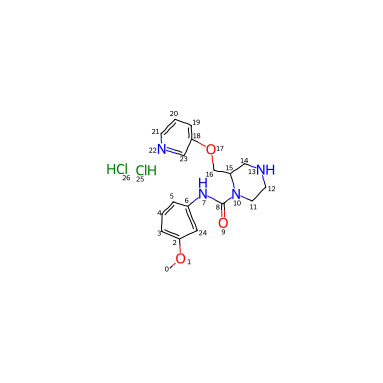 COc1cccc(NC(=O)N2CCNCC2COc2cccnc2)c1.Cl.Cl